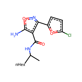 CCCCCCC(C)NC(=O)c1c(-c2ccc(Cl)o2)noc1N